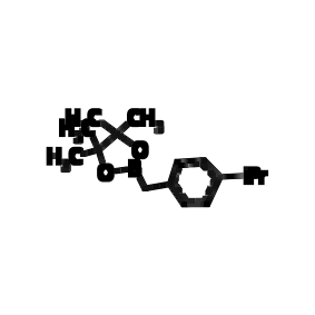 CC(C)c1ccc(CB2OC(C)(C)C(C)(C)O2)cc1